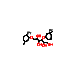 CC1CCC(C(C)C)C(OCC(O)C(O)C(OC2CCCC(C)(C(C)C)C2)C(O)CO)C1